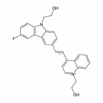 OCCn1c2ccc(F)cc2c2cc(/C=C/c3cc[n+](CCO)c4ccccc34)ccc21